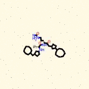 CC(C)[C@@H](NC1CCC(CC2CCCCCCCC2)C1)C(=O)N[C@H](CCCNC(N)=O)C(=O)CC1CCC(C2CCCCCCCCC2)C1